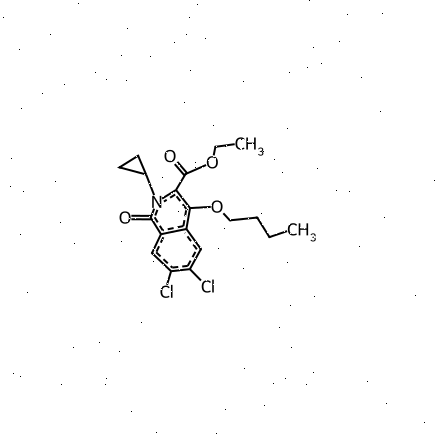 CCCCOc1c(C(=O)OCC)n(C2CC2)c(=O)c2cc(Cl)c(Cl)cc12